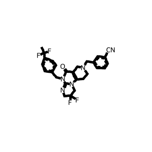 CC(F)(F)c1ccc(CN2C(=O)C3=C(CCN(Cc4cccc(C#N)c4)C3)N3CC(F)(F)CN=C23)cc1